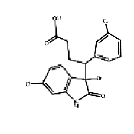 O=C(O)CCC(c1cccc(Cl)c1)C1(Br)C(=O)Nc2cc(Cl)ccc21